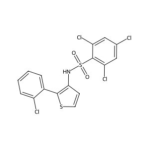 O=S(=O)(Nc1ccsc1-c1ccccc1Cl)c1c(Cl)cc(Cl)cc1Cl